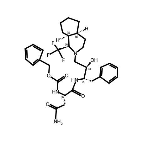 NC(=O)C[C@H](NC(=O)OCc1ccccc1)C(=O)N[C@@H](Cc1ccccc1)[C@H](O)CN1CC[C@@H]2CCCC[C@@H]2[C@@H]1C(F)(F)F